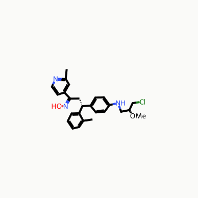 COC(CCl)CNc1ccc([C@@H](C/C(=N/O)c2ccnc(C)c2)c2ccccc2C)cc1